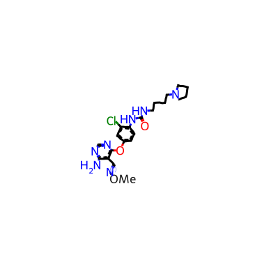 CO/N=C/c1c(N)ncnc1Oc1ccc(NC(=O)NCCCCN2CCCC2)c(Cl)c1